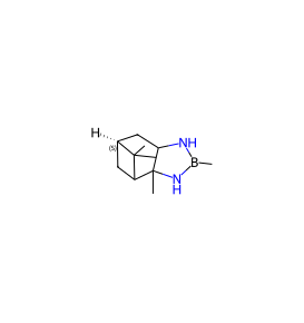 CB1NC2C[C@@H]3CC(C2(C)N1)C3(C)C